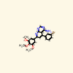 COc1cc(-c2cc(-c3cccc(Br)c3)c3c(N)ncnc3n2)cc(OC)c1OC